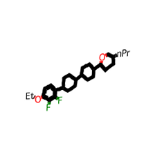 CCCC1CCC(C2CCC(C3CCC(c4ccc(OCC)c(F)c4F)CC3)CC2)OC1